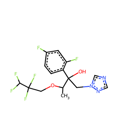 CC(OCC(F)(F)C(F)F)C(O)(Cn1cncn1)c1ccc(F)cc1F